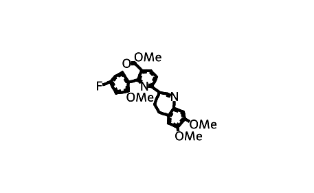 COC(=O)c1ccc(C2C=Nc3cc(OC)c(OC)cc3CC2)nc1-c1ccc(F)cc1OC